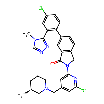 C[C@H]1CCCN(Cc2cc(Cl)nc(N3Cc4ccc(-c5ccc(Cl)cc5-c5nncn5C)cc4C3=O)c2)C1